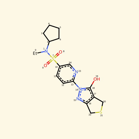 CCN(C1CCCC1)S(=O)(=O)c1ccc(-n2nc3c(c2O)CSC3)nc1